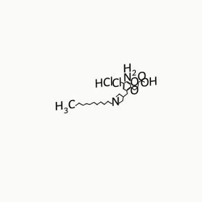 CCCCCCCCCCCCN1CCC(Cc2cc(Cl)c(N)c3c2OCC(C(=O)O)O3)CC1.Cl